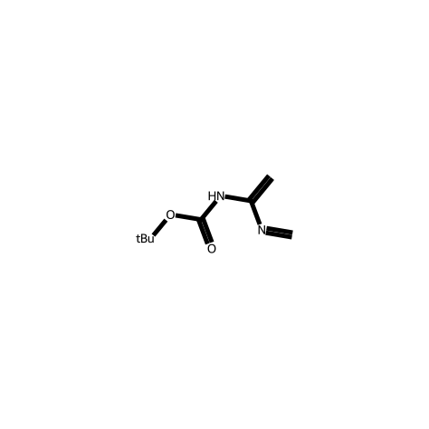 C=NC(=C)NC(=O)OC(C)(C)C